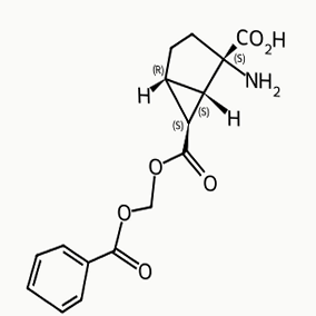 N[C@@]1(C(=O)O)CC[C@H]2[C@H](C(=O)OCOC(=O)c3ccccc3)[C@H]21